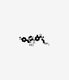 COc1ccc(-c2cnc3c(Nc4ccc(C(=O)N(C)CCCN)c(C)c4)nccn23)cc1.Cl